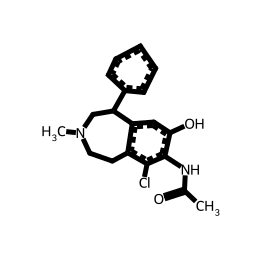 CC(=O)Nc1c(O)cc2c(c1Cl)CCN(C)CC2c1ccccc1